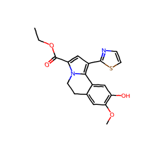 CCOC(=O)c1cc(-c2nccs2)c2n1CCc1cc(OC)c(O)cc1-2